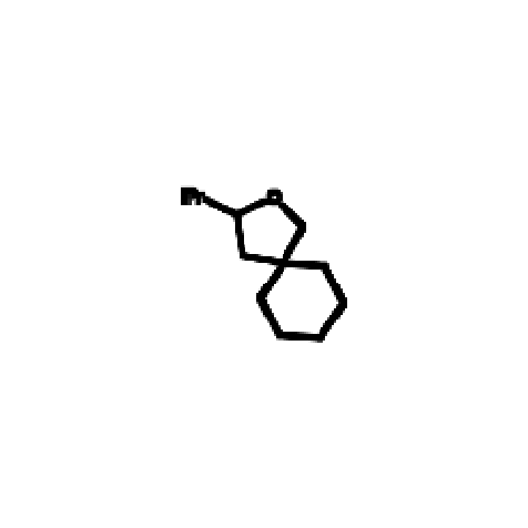 CC(C)C1CC2(CCCCC2)CO1